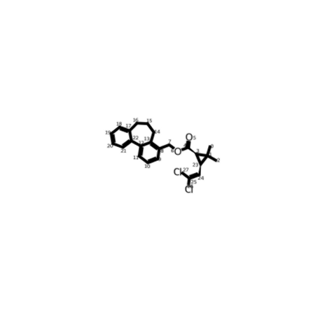 CC1(C)[C@H](C(=O)OCc2cccc3c2CCCc2ccccc2-3)[C@@H]1C=C(Cl)Cl